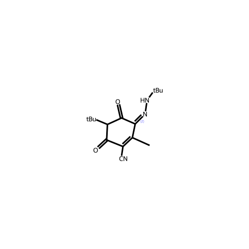 CC1=C(C#N)C(=O)C(C(C)(C)C)C(=O)/C1=N\NC(C)(C)C